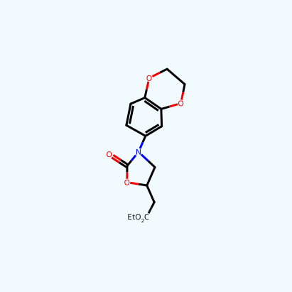 CCOC(=O)CC1CN(c2ccc3c(c2)OCCO3)C(=O)O1